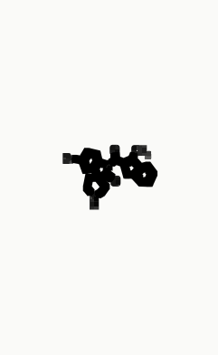 CC1=C(C(=O)N2C(=O)C3(CCNCC3)c3cc(Br)ccc32)Cc2ccccc21